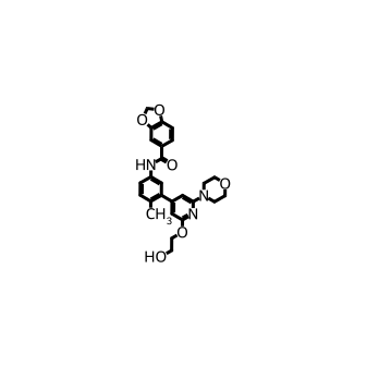 Cc1ccc(NC(=O)c2ccc3c(c2)OCO3)cc1-c1cc(OCCO)nc(N2CCOCC2)c1